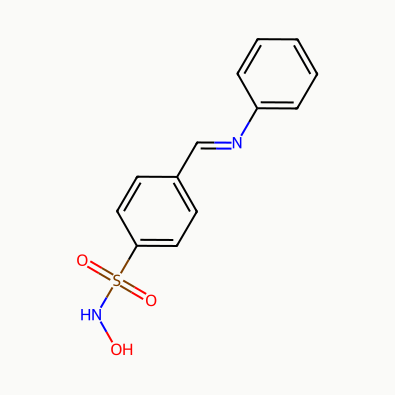 O=S(=O)(NO)c1ccc(C=Nc2ccccc2)cc1